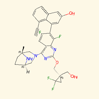 C#Cc1cccc2cc(O)cc(-c3c(F)cc4c(N5C[C@H]6CC[C@](C)(C5)N6)nc(OC[C@]5(CO)CC5(F)F)nc4c3F)c12